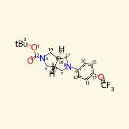 CC(C)(C)OC(=O)N1C[C@H]2CN(c3ccc(OC(F)(F)F)cc3)C[C@@H]2C1